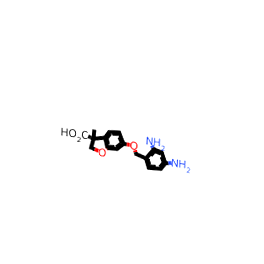 CC1(C(=O)O)COc2cc(OCc3ccc(N)cc3N)ccc21